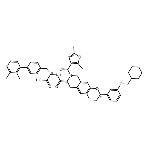 Cc1nc(C(=O)N2Cc3cc4c(cc3C[C@H]2C(=O)N[C@@H](Cc2ccc(-c3ccnc(C)c3C)cc2)C(=O)O)OC[C@H](c2cccc(OCC3CCCCC3)c2)O4)c(C)o1